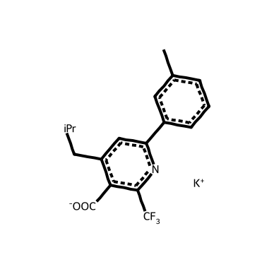 Cc1cccc(-c2cc(CC(C)C)c(C(=O)[O-])c(C(F)(F)F)n2)c1.[K+]